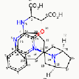 O=C(O)C[C@@H](Nc1nc2ccccc2n([C@H]2C[C@H]3CC[C@@H](C2)N3C2CCCCCCC2)c1=O)C(=O)O